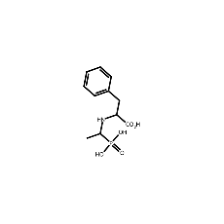 CC(NC(Cc1ccccc1)C(=O)O)P(=O)(O)O